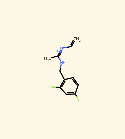 C=C/N=C(/C)NCc1ccc(F)cc1F